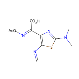 C=Nc1sc(N(C)C)nc1/C(=N/OC(C)=O)C(=O)O